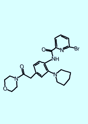 O=C(Nc1ccc(CC(=O)N2CCOCC2)cc1N1CCCCC1)c1cccc(Br)n1